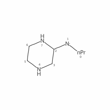 CCC[N]C1CNCCN1